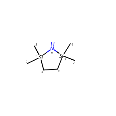 C[Si]1(C)CC[Si](C)(C)N1